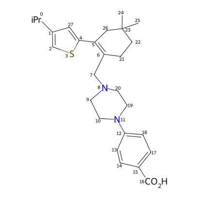 CC(C)c1csc(C2=C(CN3CCN(c4ccc(C(=O)O)cc4)CC3)CCC(C)(C)C2)c1